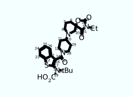 CCN1C(=O)OC2(CCCN(C3CCN(C(=O)c4c(N(C(=O)O)C(C)(C)C)sc5ccccc45)CC3)C2)C1=O